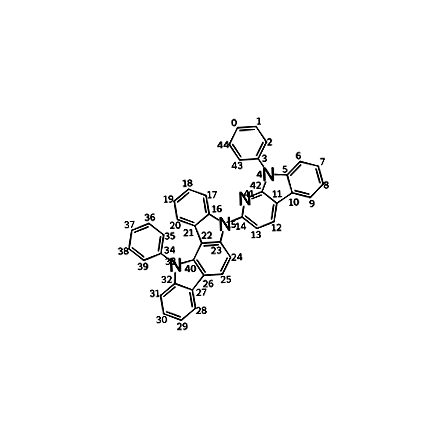 c1ccc(-n2c3ccccc3c3ccc(-n4c5ccccc5c5c4ccc4c6ccccc6n(-c6ccccc6)c45)nc32)cc1